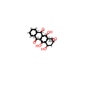 CC(=O)C12CC(O)c3c(O)c4c(c(O)c3C1O2)C(=O)c1ccccc1C4=O